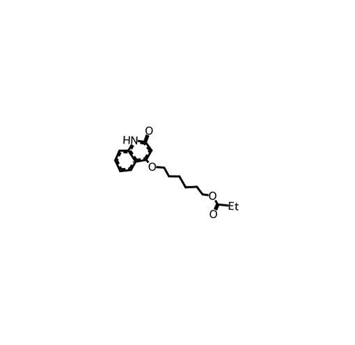 CCC(=O)OCCCCCCOc1cc(=O)[nH]c2ccccc12